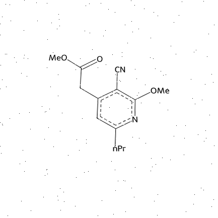 CCCc1cc(CC(=O)OC)c(C#N)c(OC)n1